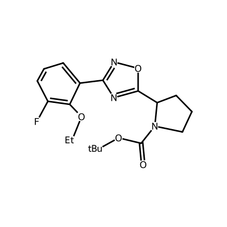 CCOc1c(F)cccc1-c1noc(C2CCCN2C(=O)OC(C)(C)C)n1